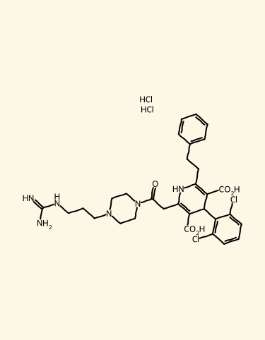 Cl.Cl.N=C(N)NCCCN1CCN(C(=O)CC2=C(C(=O)O)C(c3c(Cl)cccc3Cl)C(C(=O)O)=C(CCc3ccccc3)N2)CC1